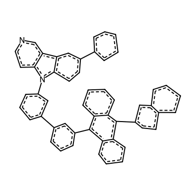 c1ccc(-c2ccc3c(c2)c2cnccc2n3-c2cccc(-c3cccc(-c4c5ccccc5c(-c5ccc6ccccc6c5)c5ccccc45)c3)c2)cc1